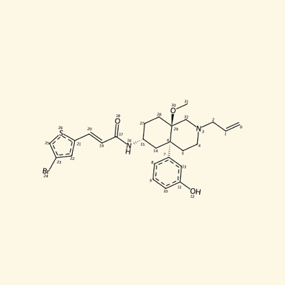 C=CCN1CC[C@@]2(c3cccc(O)c3)C[C@H](NC(=O)C=Cc3cc(Br)cs3)CC[C@]2(OC)C1